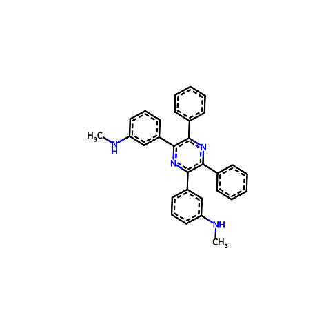 CNc1cccc(-c2nc(-c3cccc(NC)c3)c(-c3ccccc3)nc2-c2ccccc2)c1